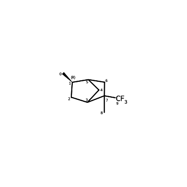 C[C@@H]1CC2CC1CC2(C)C(F)(F)F